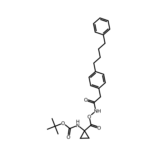 CC(C)(C)OC(=O)NC1(C(=O)ONC(=O)Cc2ccc(CCCCc3ccccc3)cc2)CC1